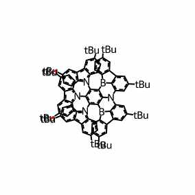 CC(C)(C)c1ccc2c(c1)-c1cc(C(C)(C)C)cc3c1B2c1c2c(c(-n4c5ccc(C(C)(C)C)cc5c5cc(C(C)(C)C)ccc54)c(-n4c5ccc(C(C)(C)C)cc5c5cc(C(C)(C)C)ccc54)c1-n1c4ccc(C(C)(C)C)cc4c4cc(C(C)(C)C)ccc41)B1c4ccc(C(C)(C)C)cc4-c4cc(C(C)(C)C)cc(c41)N32